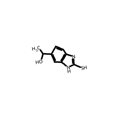 CC(O)c1ccc2nc(S)[nH]c2c1